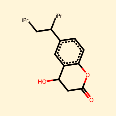 CC(C)CC(c1ccc2c(c1)C(O)CC(=O)O2)C(C)C